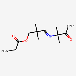 CCCCCCCCCCCC(=O)OCC(C)(C)/C=N/C(C)(C)C(=O)OC